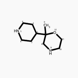 CC1(C2CCNCC2)CNCCO1